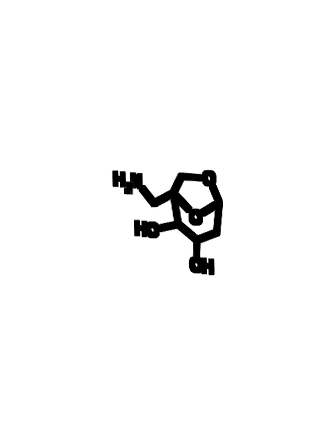 NCC12COC(CC(O)C1O)O2